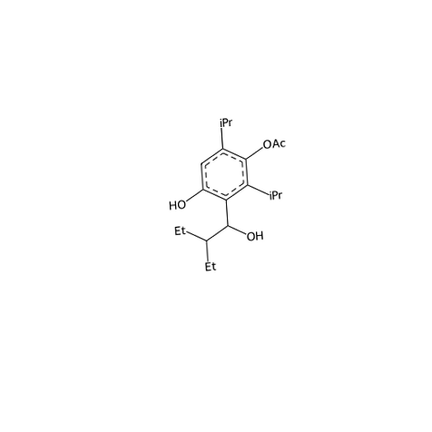 CCC(CC)C(O)c1c(O)cc(C(C)C)c(OC(C)=O)c1C(C)C